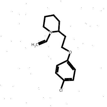 C=CN1CCCCC1CCOc1ccc(Cl)cc1